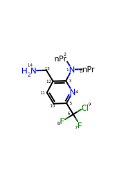 CCCN(CCC)c1nc(C(F)(F)Cl)ccc1CN